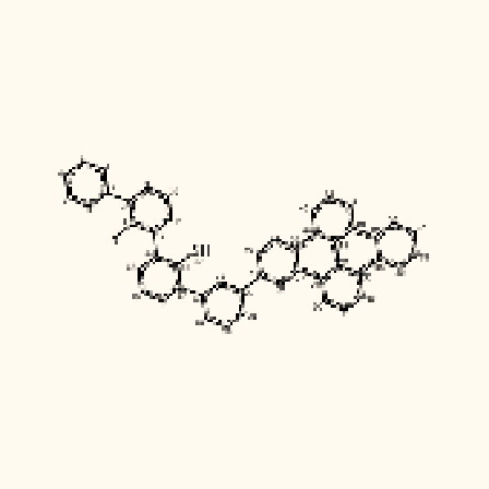 Cc1c(-c2ccccc2)cccc1-c1cccc(-c2cccc(-c3ccc4c(c3)c3cccc5c6ccccc6c6cccc4c6c53)c2)c1S